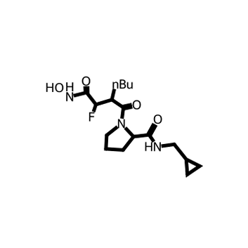 CCCCC(C(=O)N1CCCC1C(=O)NCC1CC1)C(F)C(=O)NO